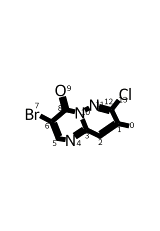 Cc1cc2ncc(Br)c(=O)n2nc1Cl